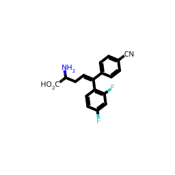 N#Cc1ccc(C(=CCC(N)C(=O)O)c2ccc(F)cc2F)cc1